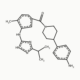 Cc1ccc(C(=O)N2CCC(c3ccc(N)cc3)CC2)cc1Nc1nc(C(C)C)n[nH]1